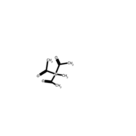 CC(=O)[Si](C)(C(C)=O)C(C)=O